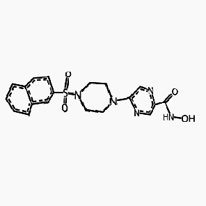 O=C(NO)c1cnc(N2CCN(S(=O)(=O)c3ccc4ccccc4c3)CC2)cn1